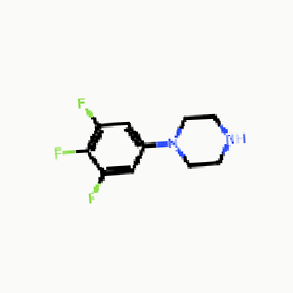 Fc1cc(N2CCNCC2)cc(F)c1F